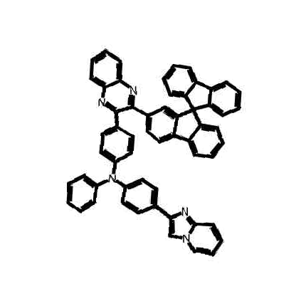 c1ccc(N(c2ccc(-c3cn4ccccc4n3)cc2)c2ccc(-c3nc4ccccc4nc3-c3ccc4c(c3)C3(c5ccccc5-c5ccccc53)c3ccccc3-4)cc2)cc1